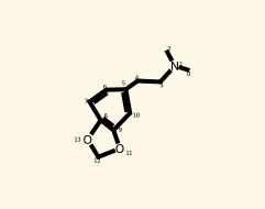 CN(C)CCc1ccc2c(c1)OCO2